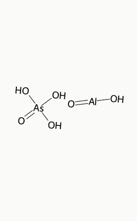 O=[As](O)(O)O.[O]=[Al][OH]